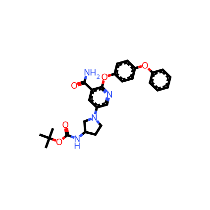 CC(C)(C)OC(=O)NC1CCN(c2cnc(Oc3ccc(Oc4ccccc4)cc3)c(C(N)=O)c2)C1